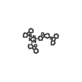 c1ccc2c(c1)oc1c(-c3nc(-c4ccc5c(c4)oc4ccc(-n6c7ccccc7c7ccccc76)cc45)nc(-n4c5ccccc5c5ccccc54)n3)cccc12